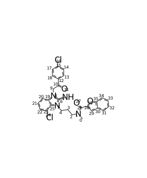 CN(CCCn1c(=N)n(CC(=O)c2ccc(Cl)cc2)c2cccc(Cl)c21)C(=O)c1cc2ccccc2o1